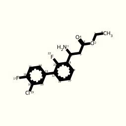 CCOC(=O)CC(N)c1cccc(-c2ccc(F)c(Cl)c2)c1F